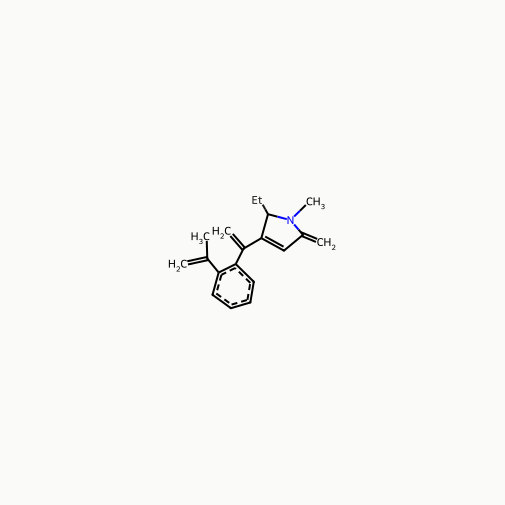 C=C(C)c1ccccc1C(=C)C1=CC(=C)N(C)C1CC